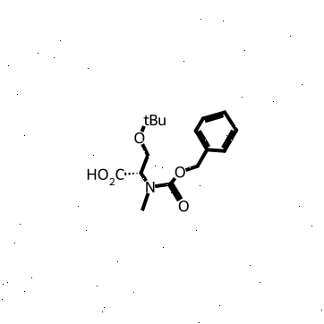 CN(C(=O)OCc1ccccc1)[C@@H](COC(C)(C)C)C(=O)O